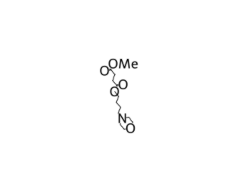 COC(=O)CCC(=O)OCCCCN1CCOCC1